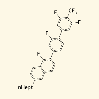 CCCCCCCc1ccc2c(F)c(-c3ccc(-c4cc(F)c(C(F)(F)F)c(F)c4)c(F)c3)ccc2c1